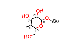 CCCCO[C@@H]1O[C@H](CO)[C@@H](C)[C@H](O)[C@H]1O